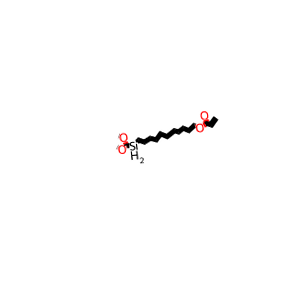 C=CC(=O)OCCCCCCCCCCC[SiH2]C(OC)OC